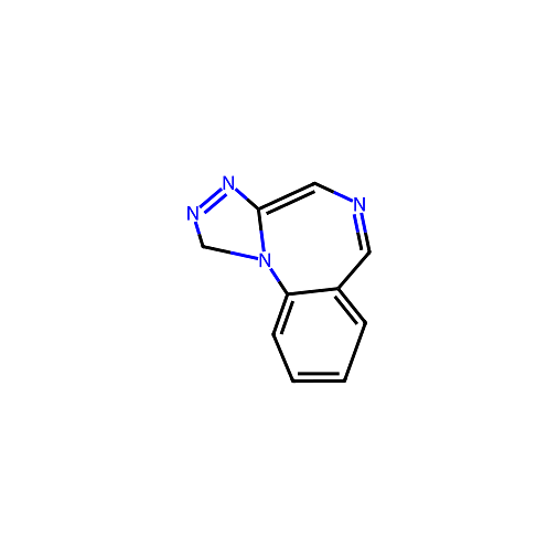 C1=NC=C2N=NCN2c2ccccc21